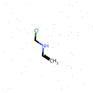 C=CNCCl